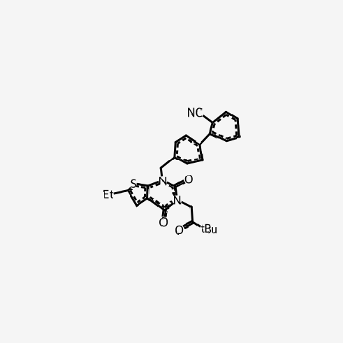 CCc1cc2c(=O)n(CC(=O)C(C)(C)C)c(=O)n(Cc3ccc(-c4ccccc4C#N)cc3)c2s1